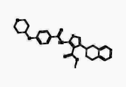 O=C(Nc1scc(C2CCc3ccccc3C2)c1C(=O)OI)c1ccc(OC2CCOCC2)cc1